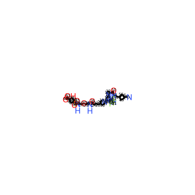 N#Cc1ccc(CCNC(=O)C2CCN2c2cc(N3CCC(CCCC(=O)NCCOCCNS(=O)(=O)c4ccc(C(=O)O)cc4)CC3)nc(C(F)(F)F)n2)cc1